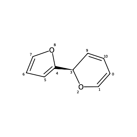 C1=CO[C@@H](c2ccco2)C=C1